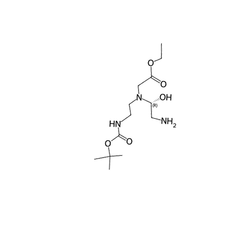 CCOC(=O)CN(CCNC(=O)OC(C)(C)C)[C@H](O)CN